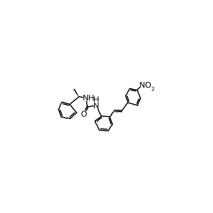 C[C@@H](NC(=O)Nc1ccccc1C=Cc1ccc([N+](=O)[O-])cc1)c1ccccc1